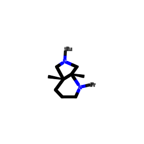 CC(C)N1CCC[C@]2(C)CN(C(C)(C)C)C[C@]12C